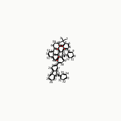 CC(C)(C)c1ccc(-c2ccccc2N(c2ccc(-c3ccc4c5ccccc5n(-c5ccccc5)c4c3)cc2)c2ccccc2-c2cccc3cccc(C4CCCCC4)c23)cc1